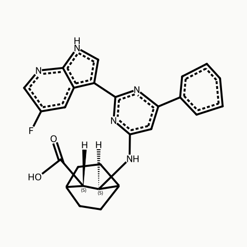 O=C(O)[C@H]1C2CCC(CC2)[C@@H]1Nc1cc(-c2ccccc2)nc(-c2c[nH]c3ncc(F)cc23)n1